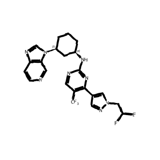 FC(F)Cn1cc(-c2nc(N[C@@H]3CCC[C@H](n4cnc5ccncc54)C3)ncc2C(F)(F)F)cn1